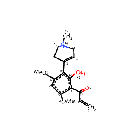 C=CC(=O)c1c(OC)cc(OC)c(C2=CCN(C)CC2)c1O